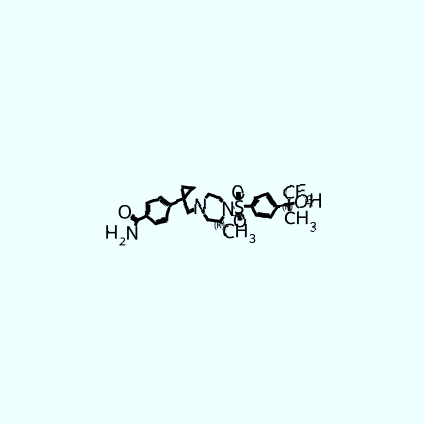 C[C@@H]1CN(CC2(c3ccc(C(N)=O)cc3)CC2)CCN1S(=O)(=O)c1ccc([C@@](C)(O)C(F)(F)F)cc1